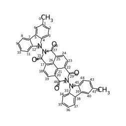 Cc1ccc2c(c1)c1ccccc1n2N1C(=O)c2ccc3c4c(ccc(c24)C1=O)C(=O)N(n1c2ccccc2c2cc(C)ccc21)C3=O